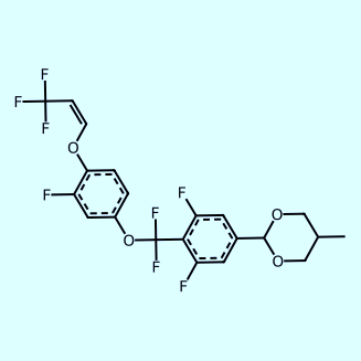 CC1COC(c2cc(F)c(C(F)(F)Oc3ccc(O/C=C\C(F)(F)F)c(F)c3)c(F)c2)OC1